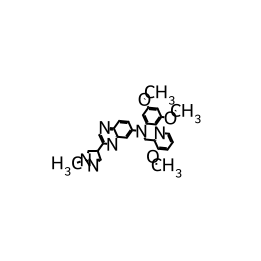 COc1cc(OC)cc(N(Cc2ncccc2OC)c2ccc3ncc(C4C=NN(C)C4)nc3c2)c1